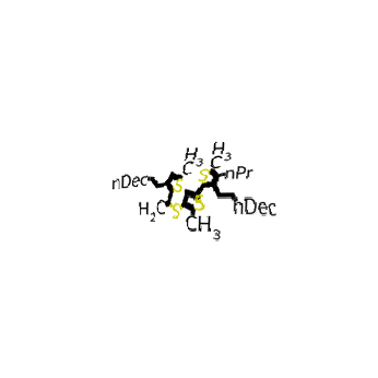 C=C(Sc1cc(-c2sc(C)c(CCC)c2CCCCCCCCCCCC)sc1C)c1sc(C)cc1CCCCCCCCCCCC